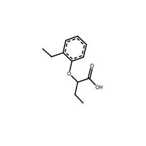 CCc1ccccc1OC(CC)C(=O)O